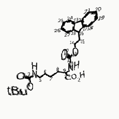 CC(C)(C)OC(=O)NCCCCC(NC(=O)OCCC1c2ccccc2-c2ccccc21)C(=O)O